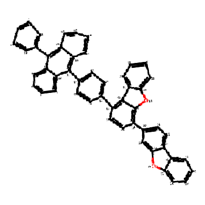 c1ccc(-c2c3ccccc3c(-c3ccc(-c4ccc(-c5ccc6c(c5)oc5ccccc56)c5oc6ccccc6c45)cc3)c3ccccc23)cc1